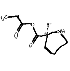 CCC(=O)OC(=O)[C@]1(Br)CCCN1